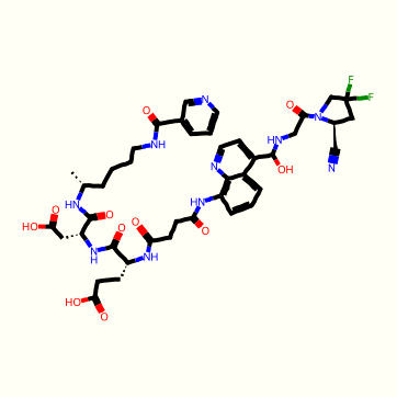 C[C@H](CCCCNC(=O)c1cccnc1)NC(=O)[C@@H](CC(=O)O)NC(=O)[C@@H](CCC(=O)O)NC(=O)CCC(=O)Nc1cccc2c(C(O)NCC(=O)N3CC(F)(F)C[C@H]3C#N)ccnc12